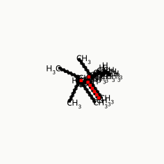 CCCCCCCCCCCC[SiH](C)O[Si](C)(CCCCCCCCCCCC)O[Si](C)(CCCCCCCCCCCC)O[Si](C)(CCCCCCCCCCCC)O[Si](C)(CCCCCCCCCCCC)O[Si](C)(CCCCCCCCCCCC)O[SiH](C)O[SiH](C)O[SiH](C)O[SiH](C)O[Si](C)(C)C